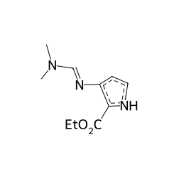 CCOC(=O)c1[nH]ccc1N=CN(C)C